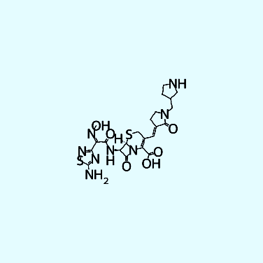 Nc1nc(/C(=N/O)C(=O)N[C@@H]2C(=O)N3C(C(=O)O)=C(C=C4CCN(CC5CCNC5)C4=O)CS[C@H]23)ns1